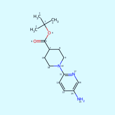 CC(C)(C)OC(=O)C1CCN(c2ccc(N)cn2)CC1